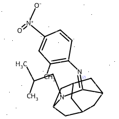 Cc1cc([N+](=O)[O-])ccc1/N=C1/C2CC3CC(C2)CC(C3)N1CC(C)C